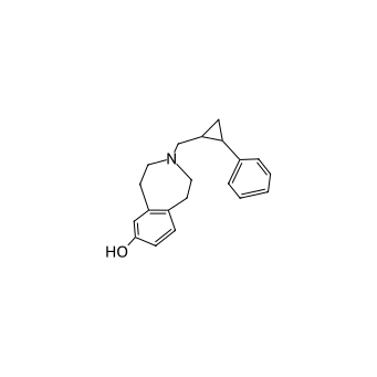 Oc1ccc2c(c1)CCN(CC1CC1c1ccccc1)CC2